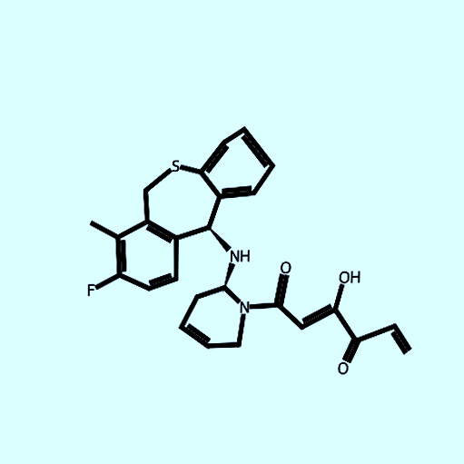 C=CC(=O)/C(O)=C/C(=O)N1CC=CC[C@H]1N[C@@H]1c2ccccc2SCc2c1ccc(F)c2C